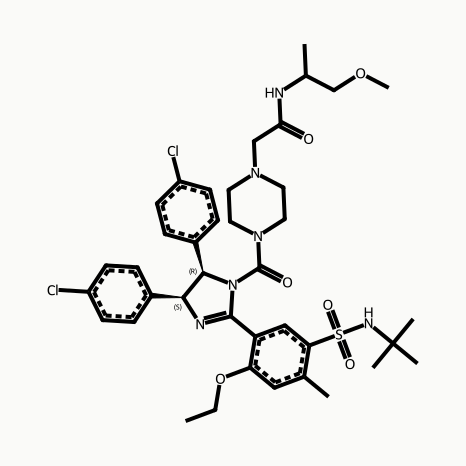 CCOc1cc(C)c(S(=O)(=O)NC(C)(C)C)cc1C1=N[C@@H](c2ccc(Cl)cc2)[C@@H](c2ccc(Cl)cc2)N1C(=O)N1CCN(CC(=O)NC(C)COC)CC1